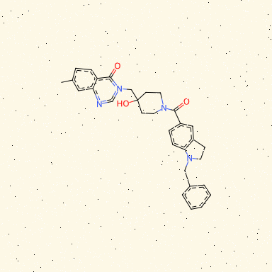 Cc1ccc2c(=O)n(CC3(O)CCN(C(=O)c4ccc5c(c4)CCN5Cc4ccccc4)CC3)cnc2c1